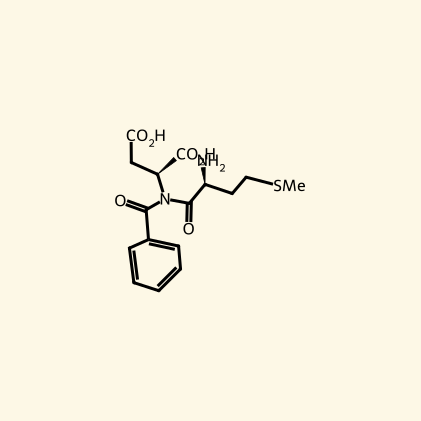 CSCC[C@H](N)C(=O)N(C(=O)c1ccccc1)[C@@H](CC(=O)O)C(=O)O